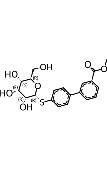 COC(=O)c1cccc(-c2ccc(S[C@H]3O[C@H](CO)[C@@H](O)[C@@H](O)[C@H]3O)cc2)c1